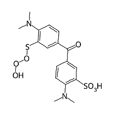 CN(C)c1ccc(C(=O)c2ccc(N(C)C)c(S(=O)(=O)O)c2)cc1SOOO